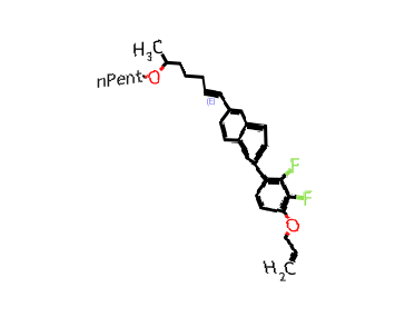 C=CCOc1ccc(-c2ccc3cc(/C=C/CCCC(C)OCCCCC)ccc3c2)c(F)c1F